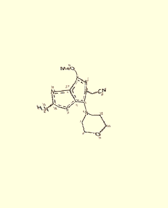 COc1nc(C#N)c(N2CCOCC2)c2sc(N)nc12